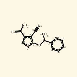 CC(On1ncc(C(N)=O)c1C#N)c1ccccn1